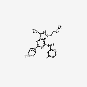 CCOCCn1nc(CC)c2nc(N3CC4CC3CN4)nc(Nc3cc(C)ccn3)c21